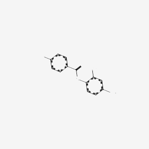 CC(C)(C)c1ccc(NC(=O)c2ccc(C(=O)O)cc2)c(C(C)(C)C)c1